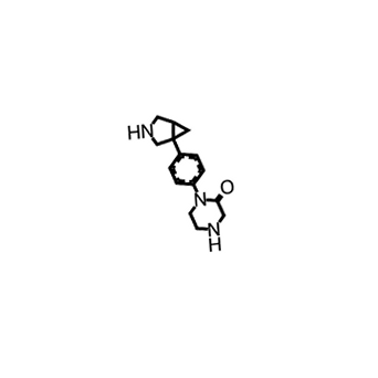 O=C1CNCCN1c1ccc(C23CNCC2C3)cc1